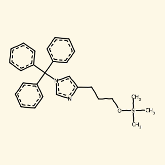 C[Si](C)(C)OCCCc1cn(C(c2ccccc2)(c2ccccc2)c2ccccc2)cn1